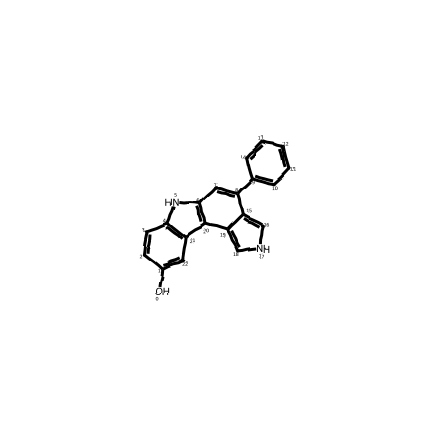 Oc1ccc2[nH]c3cc(-c4ccccc4)c4c[nH]cc4c3c2c1